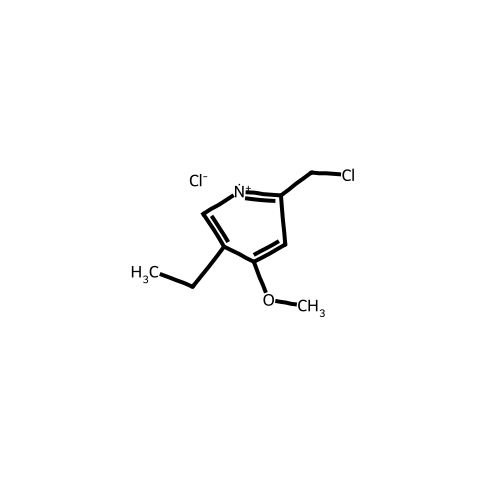 CCC1=C[N+]=C(CCl)C=C1OC.[Cl-]